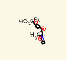 CCOC(Cc1ccc(C(=O)CCc2nc(-c3ccccc3)oc2C)cc1)C(=O)O